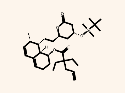 C=CCC(CC)(CC)C(=O)O[C@H]1CCC=C2C=C[C@H](C)[C@H](CC[C@@H]3C[C@@H](O[Si](C)(C)C(C)(C)C)CC(=O)O3)[C@H]21